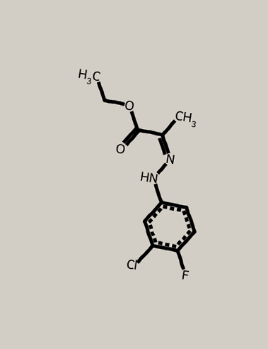 CCOC(=O)/C(C)=N\Nc1ccc(F)c(Cl)c1